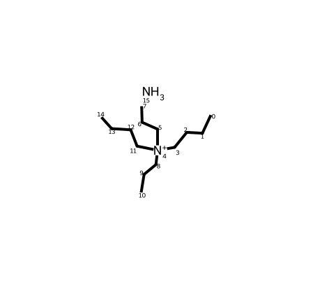 CCCC[N+](CCC)(CCC)CCCC.N